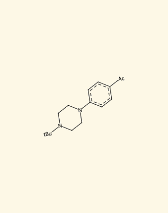 CC(=O)c1ccc(N2CCN(C(C)(C)C)CC2)cc1